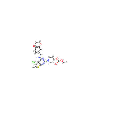 CCOC(=O)OC1CCN(c2nc(NCc3ccc4c(c3)OCCO4)c3c(Cl)c(C)sc3n2)CC1